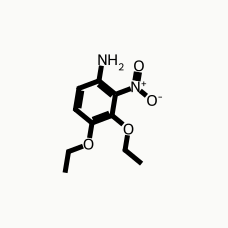 CCOc1ccc(N)c([N+](=O)[O-])c1OCC